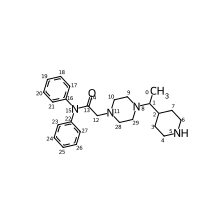 CC(C1CCNCC1)N1CCN(CC(=O)N(c2ccccc2)c2ccccc2)CC1